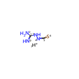 N=C(N)NN=C=S.[H+]